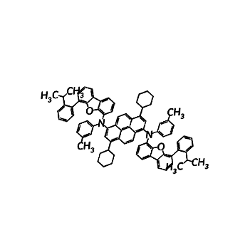 Cc1cccc(N(c2cc(C3CCCCC3)c3ccc4c(N(c5cccc(C)c5)c5cccc6c5oc5c(-c7ccccc7C(C)C)cccc56)cc(C5CCCCC5)c5ccc2c3c54)c2cccc3c2oc2c(-c4ccccc4C(C)C)cccc23)c1